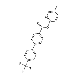 Cc1ccc(OC(=O)c2ccc(-c3ccc(C(F)(F)F)cc3)cc2)nc1